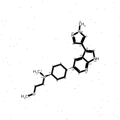 COCCN(C)[C@H]1CC[C@H](c2cnc3[nH]cc(-c4cnn(C)c4)c3c2)CC1